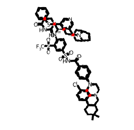 CC1(C)CCC(c2ccc(Cl)cc2)=C(CN2CCN(c3ccc(C(=O)NS(=O)(=O)c4ccc(N[C@H](CCN5CC6CCC(C5)N6Cc5cncc(N6CCC(=O)NC6=O)c5)CSc5ccccc5)c(S(=O)(=O)C(F)(F)F)c4)cc3)CC2)C1